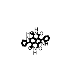 O=C1NC(=O)c2c3c1c1[nH]c4ccccc4c1c1c3c(c3[nH]c4ccccc4c23)C(=O)NC1=O